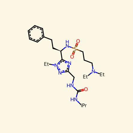 CCN(CC)CCCS(=O)(=O)N[C@H](CCc1ccccc1)c1nc(CNC(=O)NC(C)C)nn1CC